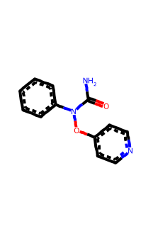 NC(=O)N(Oc1ccncc1)c1ccccc1